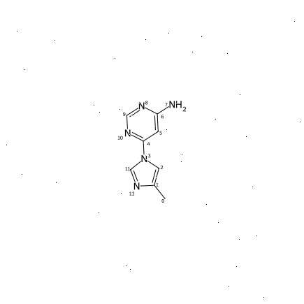 Cc1cn(-c2cc(N)ncn2)cn1